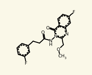 COCc1nc2cc(F)ccc2c(=O)n1NC(=O)CCc1cccc(F)c1